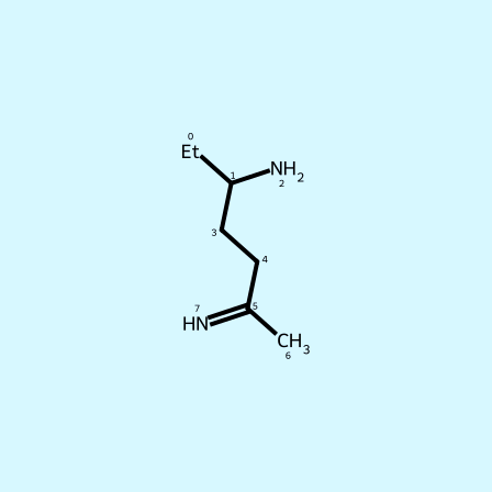 CCC(N)CCC(C)=N